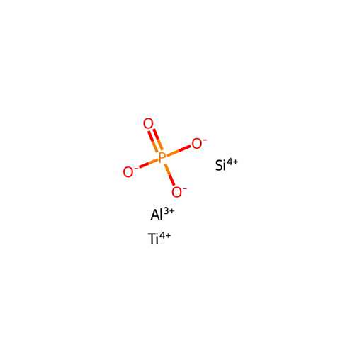 O=P([O-])([O-])[O-].[Al+3].[Si+4].[Ti+4]